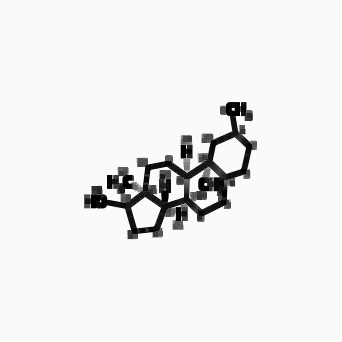 CC1CCC2=CC[C@@H]3[C@@H](CC[C@]4(C)C(O)CC[C@@H]34)[C@@]2(C)C1